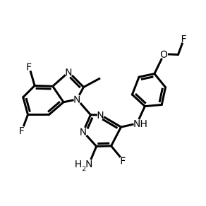 Cc1nc2c(F)cc(F)cc2n1-c1nc(N)c(F)c(Nc2ccc(OCF)cc2)n1